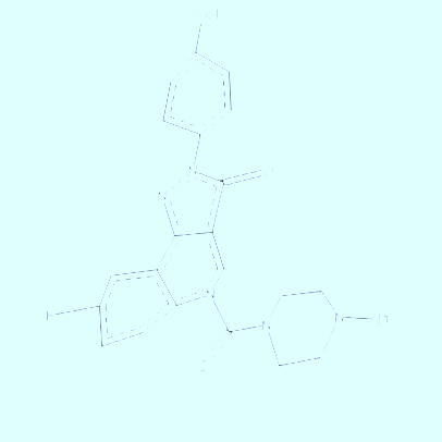 CC(C)N1CCN(C(=O)n2cc3c(=O)n(-c4ccc(O)cc4)nc-3c3cc(F)ccc32)CC1